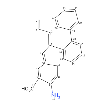 C=C/C=C(\C=C1\C=C(C(=O)O)C(N)=CC1)c1ccccc1-c1ccccc1